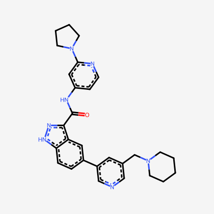 O=C(Nc1ccnc(N2CCCC2)c1)c1n[nH]c2ccc(-c3cncc(CN4CCCCC4)c3)cc12